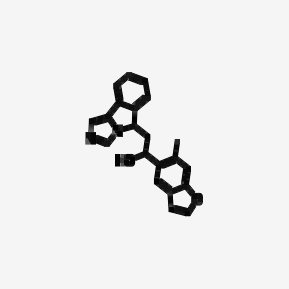 Cc1cc2occc2cc1C(O)CC1c2ccccc2-c2cncn21